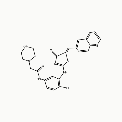 O=C(CN1CCNCC1)Nc1ccc(Cl)c(NC2=NC(=O)/C(=C/c3ccc4ncccc4c3)S2)c1